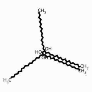 CCCCCCCCCCCCCCCCCCC(O)(CCCCCCCCCCCCCCCCCC)C(O)C(O)(CCCCCCCCCCCCCCCCCC)CCCCCCCCCCCCCCCCCC